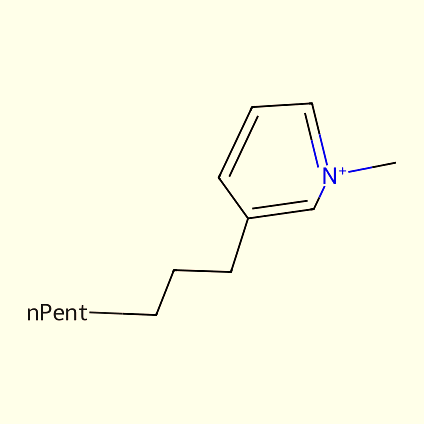 CCCCCCCCc1ccc[n+](C)c1